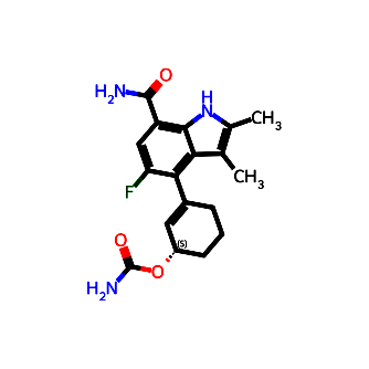 Cc1[nH]c2c(C(N)=O)cc(F)c(C3=C[C@@H](OC(N)=O)CCC3)c2c1C